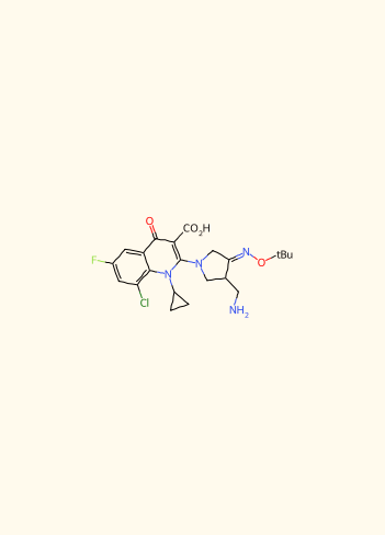 CC(C)(C)ON=C1CN(c2c(C(=O)O)c(=O)c3cc(F)cc(Cl)c3n2C2CC2)CC1CN